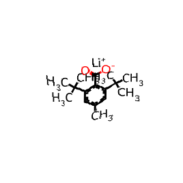 Cc1cc(C(C)(C)C)c(C(=O)[O-])c(C(C)(C)C)c1.[Li+]